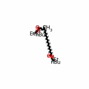 CCCCC(CC)COC(=O)CCCCCCCCCCCCCCCC(C)CCC(=O)OCC(CC)CCCC